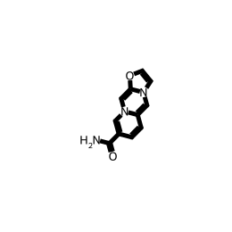 NC(=O)C1=CN2C=C3OC=CN3C=C2C=C1